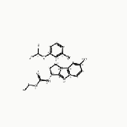 CCOC(=O)N[C@@H]1C[C@H](c2c(Br)cccc2OC(F)F)n2c1nc1ccc(Cl)cc12